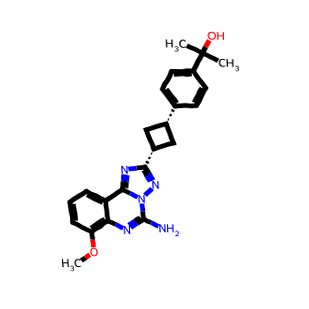 COc1cccc2c1nc(N)n1nc([C@H]3C[C@@H](c4ccc(C(C)(C)O)cc4)C3)nc21